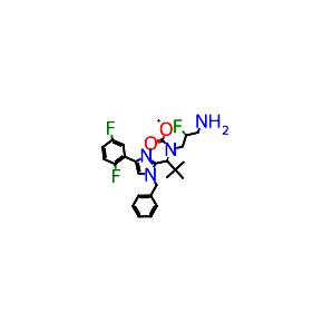 COC(=O)N(C[C@@H](F)CN)[C@@H](c1nc(-c2cc(F)ccc2F)cn1Cc1ccccc1)C(C)(C)C